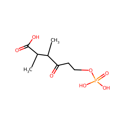 CC(C(=O)O)C(C)C(=O)CCOP(=O)(O)O